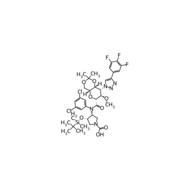 CO[C@@H]1[C@@H](n2cc(-c3cc(F)c(F)c(F)c3)nn2)[C@H]2OC(C)(C)OC[C@H]2O[C@H]1C(=O)N(c1cc(Cl)cc(Cl)c1)[C@H]1CN(C(=O)O)C[C@@H]1O[Si](C)(C)C(C)(C)C